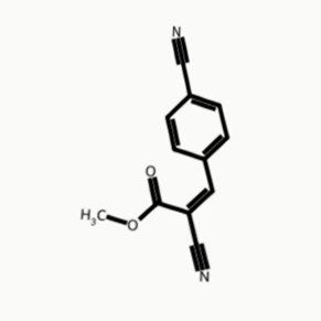 COC(=O)C(C#N)=Cc1ccc(C#N)cc1